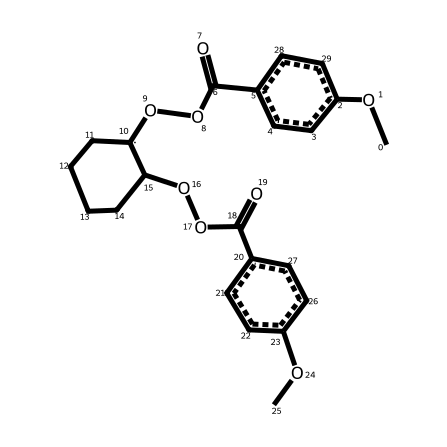 COc1ccc(C(=O)OO[C]2CC[CH]CC2OOC(=O)c2ccc(OC)cc2)cc1